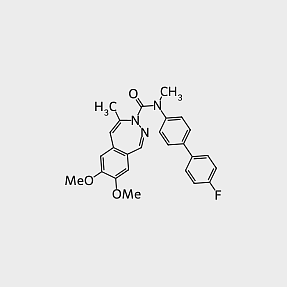 COc1cc2c(cc1OC)C=C(C)N(C(=O)N(C)c1ccc(-c3ccc(F)cc3)cc1)N=C2